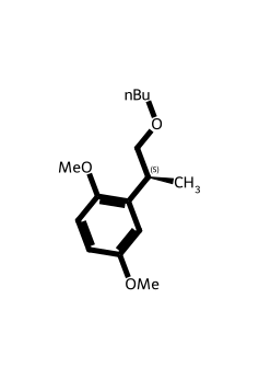 CCCCOC[C@@H](C)c1cc(OC)ccc1OC